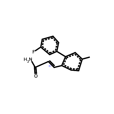 Cc1ccc(/C=C/C(N)=O)c(-c2cccc(F)c2)c1